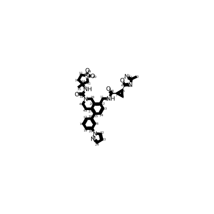 Cc1noc([C@@H]2C[C@H]2C(=O)NCc2ccc(-c3cccc(-n4cccn4)c3)c3c2CN(C(=O)NC2(C)CCS(=O)(=O)C2)CC3)n1